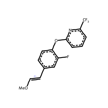 CO/C=C/c1ccc(Oc2cccc(C(F)(F)F)n2)c(F)c1